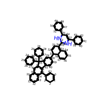 C1=CCCC(c2c3c(cc4ccccc24)C(c2ccccc2)(c2ccccc2)c2cc(C4C=CC(C5NC(c6ccccc6)=CC(c6ccccc6)N5)=C5C=CC=CC54)ccc2-3)=C1